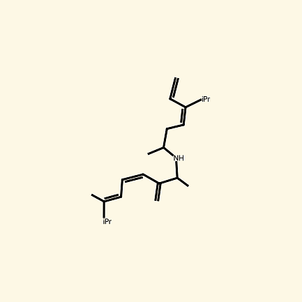 C=C/C(=C\CC(C)NC(C)C(=C)/C=C\C=C(/C)C(C)C)C(C)C